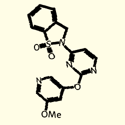 COc1cncc(Oc2nccc(N3Cc4ccccc4S3(=O)=O)n2)c1